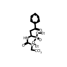 CCOP(=O)(OCC)C(CC(=O)c1ccccc1)NC(=O)OCC(Cl)(Cl)Cl